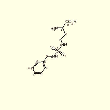 NC(CCNS(=O)(=O)NCc1cccnc1)C(=O)O